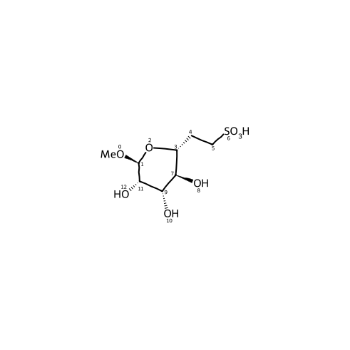 CO[C@H]1O[C@H](CCS(=O)(=O)O)[C@@H](O)[C@H](O)[C@@H]1O